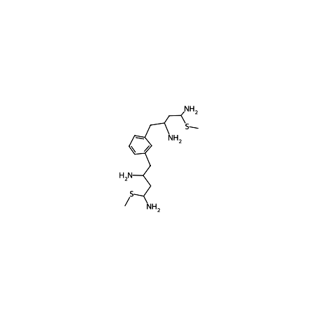 CSC(N)CC(N)Cc1cccc(CC(N)CC(N)SC)c1